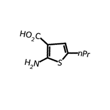 CCCc1cc(C(=O)O)c(N)s1